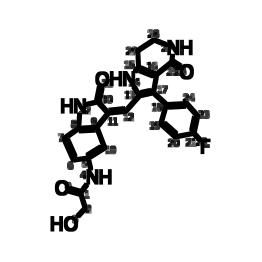 O=C(CO)Nc1ccc2c(c1)/C(=C/c1[nH]c3c(c1-c1ccc(F)cc1)C(=O)NCC3)C(=O)N2